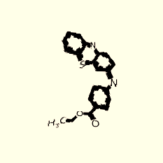 CCOC(=O)c1ccc(N=c2ccc3nc4ccccc4sc-3c2)cc1